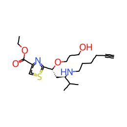 C#CCCCCN[C@H](C[C@@H](OCCCO)c1nc(C(=O)OCC)cs1)C(C)C